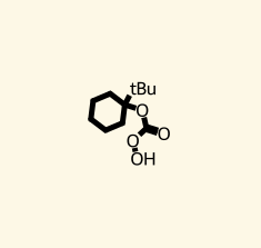 CC(C)(C)C1(OC(=O)OO)CCCCC1